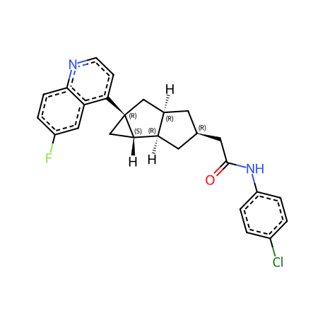 O=C(C[C@@H]1C[C@@H]2C[C@@]3(c4ccnc5ccc(F)cc45)C[C@H]3[C@@H]2C1)Nc1ccc(Cl)cc1